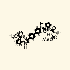 COC(=O)N[C@H](C(=O)N[C@@H]1CCC[C@H]1C(=O)Nc1ccc(-c2ccc(-c3c[nH]c([C@@H]4CCCN4C(=O)[C@@H](C)C(C)C)n3)cc2)cc1)C(C)C